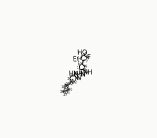 CCc1cc(O)c(F)cc1-c1ccc2c(-c3nc4c([nH]3)CCN(CCN3CC(C)(C)C3(C)C)C4)n[nH]c2c1